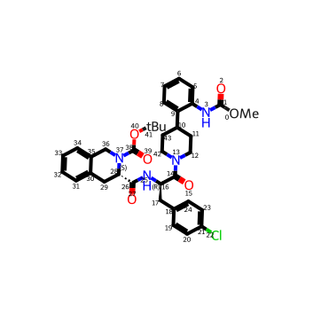 COC(=O)Nc1ccccc1C1CCN(C(=O)[C@@H](Cc2ccc(Cl)cc2)NC(=O)[C@@H]2Cc3ccccc3CN2C(=O)OC(C)(C)C)CC1